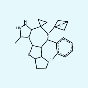 CC1NNC2N1C1SC3CCCC3C1C(c1ccccc1Cl)N(C13CC(C1)C3)C21CC1